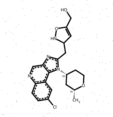 C[C@@H]1C[C@H](n2c(CC3C=C(CO)ON3)nc3cnc4ccc(Cl)cc4c32)CCO1